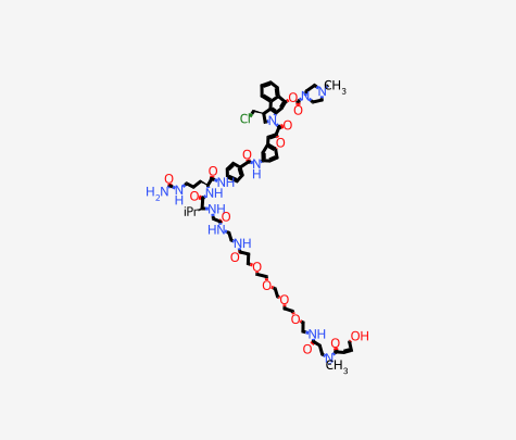 CC(C)[C@H](NCC(=O)NCCNC(=O)CCOCCOCCOCCOCCNC(=O)CCN(C)C(=O)/C=C\CO)C(=O)N[C@@H](CCCNC(N)=O)C(=O)Nc1ccc(C(=O)Nc2ccc3oc(C(=O)N4C[C@@H](CCl)c5c4cc(OC(=O)N4CCN(C)CC4)c4ccccc54)cc3c2)cc1